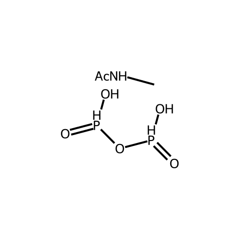 CNC(C)=O.O=[PH](O)O[PH](=O)O